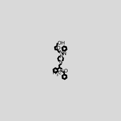 CN(CC(CCN1CCCN(c2nc3ccccc3n2Cc2ccc(CO)o2)CC1)c1ccccc1)C(=O)c1ccccc1